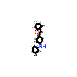 c1ccc(Nc2ccc(-c3cc4ccccc4o3)cc2)cc1